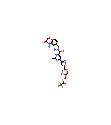 Cc1nc(C(=O)NCc2ccc3c(c2)NC(=O)CO3)cc(C2=NO[C@@H]([C@H]3CO[C@H](COC(=O)C(F)(F)F)CO3)C2)n1